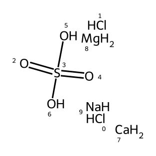 Cl.Cl.O=S(=O)(O)O.[CaH2].[MgH2].[NaH]